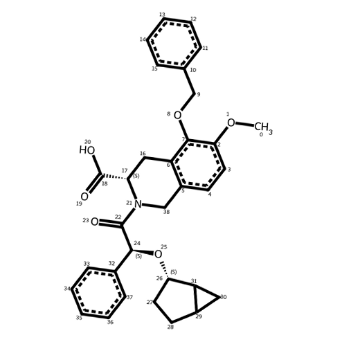 COc1ccc2c(c1OCc1ccccc1)C[C@@H](C(=O)O)N(C(=O)[C@@H](O[C@H]1CCC3CC31)c1ccccc1)C2